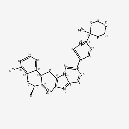 Cc1nc2cnc(-c3cnc(C4(O)CCOCC4)nc3)cn2c1CN1C(=O)[C@@H](C)Oc2c(F)cccc21